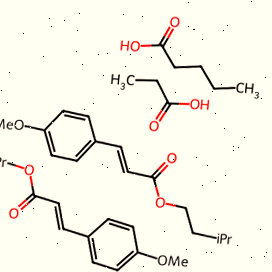 CCC(=O)O.CCCCC(=O)O.CCCOC(=O)/C=C/c1ccc(OC)cc1.COc1ccc(/C=C/C(=O)OCCC(C)C)cc1